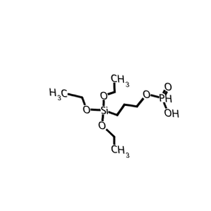 CCO[Si](CCCO[PH](=O)O)(OCC)OCC